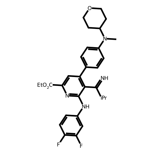 CCOC(=O)c1cc(-c2ccc(N(C)C3CCOCC3)cc2)c(C(=N)C(C)C)c(Nc2ccc(F)c(F)c2)n1